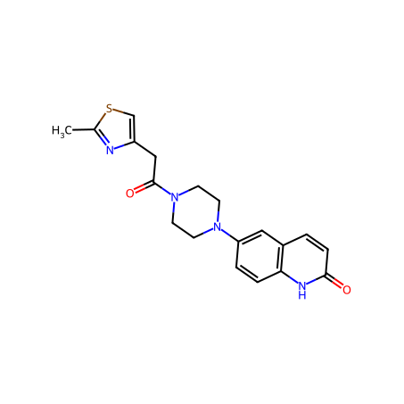 Cc1nc(CC(=O)N2CCN(c3ccc4[nH]c(=O)ccc4c3)CC2)cs1